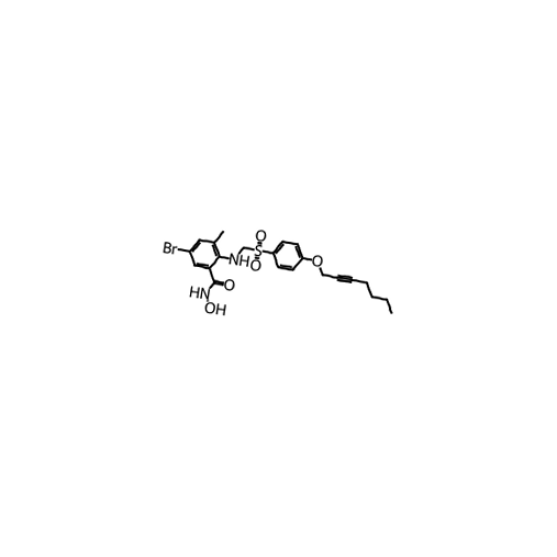 CCCCC#CCOc1ccc(S(=O)(=O)CNc2c(C)cc(Br)cc2C(=O)NO)cc1